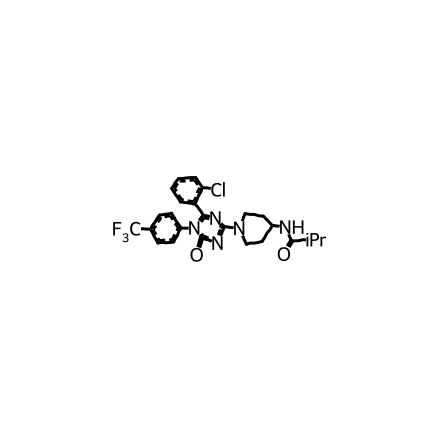 CC(C)C(=O)NC1CCN(c2nc(-c3ccccc3Cl)n(-c3ccc(C(F)(F)F)cc3)c(=O)n2)CC1